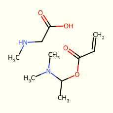 C=CC(=O)OC(C)N(C)C.CNCC(=O)O